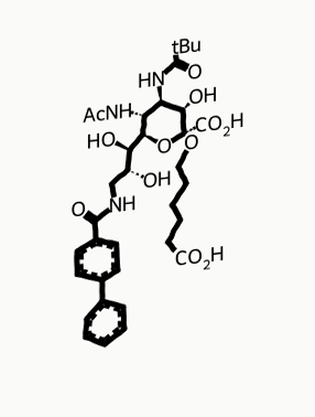 CC(=O)N[C@@H]1[C@@H](NC(=O)C(C)(C)C)[C@H](O)[C@](OCCCCCC(=O)O)(C(=O)O)O[C@H]1[C@H](O)[C@H](O)CNC(=O)c1ccc(-c2ccccc2)cc1